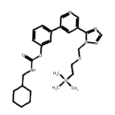 C[Si](C)(C)CCOCn1ncnc1-c1cncc(-c2cccc(OC(=O)NCC3CCCCC3)c2)c1